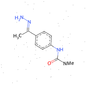 CNC(=O)Nc1ccc(/C(C)=N/N)cc1